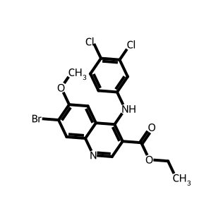 CCOC(=O)c1cnc2cc(Br)c(OC)cc2c1Nc1ccc(Cl)c(Cl)c1